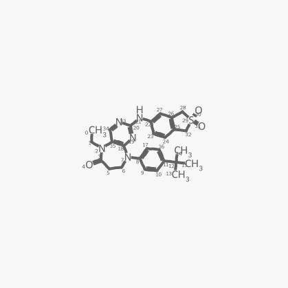 CCN1C(=O)CCN(c2ccc(C(C)(C)C)cc2)c2nc(Nc3ccc4c(c3)CS(=O)(=O)C4)ncc21